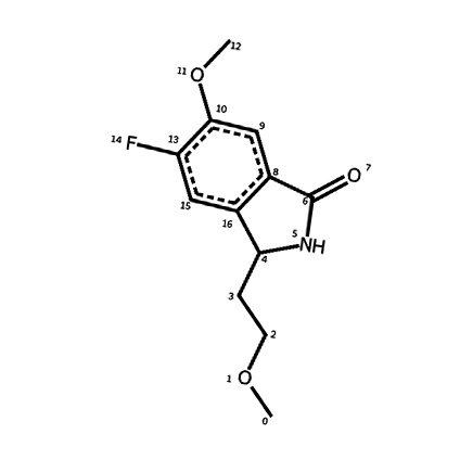 COCCC1NC(=O)c2cc(OC)c(F)cc21